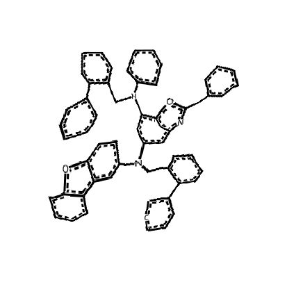 c1ccc(-c2nc3cc(N(Cc4ccccc4-c4ccccc4)c4ccc5oc6ccccc6c5c4)cc(N(Cc4ccccc4-c4ccccc4)c4ccccc4)c3o2)cc1